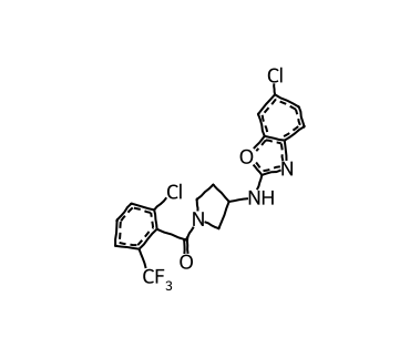 O=C(c1c(Cl)cccc1C(F)(F)F)N1CCC(Nc2nc3ccc(Cl)cc3o2)C1